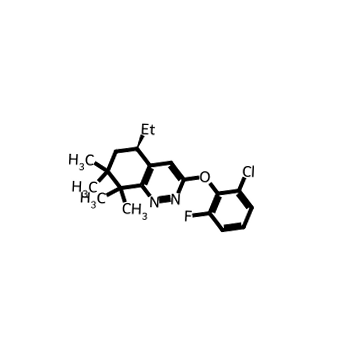 CC[C@@H]1CC(C)(C)C(C)(C)c2nnc(Oc3c(F)cccc3Cl)cc21